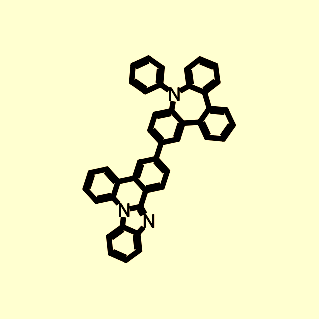 c1ccc(N2c3ccccc3-c3ccccc3-c3cc(-c4ccc5c(c4)c4ccccc4n4c6ccccc6nc54)ccc32)cc1